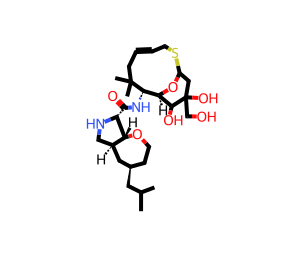 CC(C)C[C@@H]1CCO[C@@H]2[C@H](CN[C@@H]2C(=O)N[C@H]2[C@H]3OC(CC(O)(CO)C3O)SC/C=C/CC2(C)C)C1